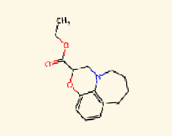 CCOC(=O)C1CN2CCCCc3cccc(c32)O1